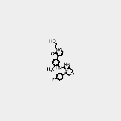 Cc1ccc(-c2ccnn(CCO)c2=O)cc1Nc1nnc2n1[C@H](c1ccc(F)cc1)COC2